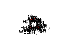 CC[C@H]1OC(=O)[C@H](C)[C@@H](O[C@H]2C[C@@](C)(OC)[C@@H](O)[C@H](C)O2)[C@H](C)[C@@H](O[C@@H]2O[C@H](C)C[C@H](N(C)CCc3cn(CCc4ccc(Cl)c(Cl)c4)nn3)[C@H]2O)[C@](C)(O)C[C@@H](C)CN(C)[C@H](C)[C@@H](O)[C@]1(C)O